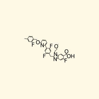 COCCn1c(Cc2cc(F)c(-c3cccc(OCc4ccc(C)cc4F)n3)cc2F)nc2cc(F)c(C(=O)O)cc21